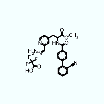 COC(=O)C(Cc1ccnc(/C=N\N)c1)NC(=O)c1ccc(-c2ccccc2C#N)cc1.O=C(O)C(F)(F)F